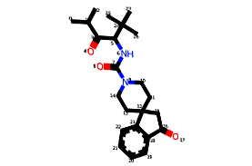 CC(C)C(=O)C(NC(=O)N1CCC2(CC1)CC(=O)c1ccccc12)C(C)(C)C